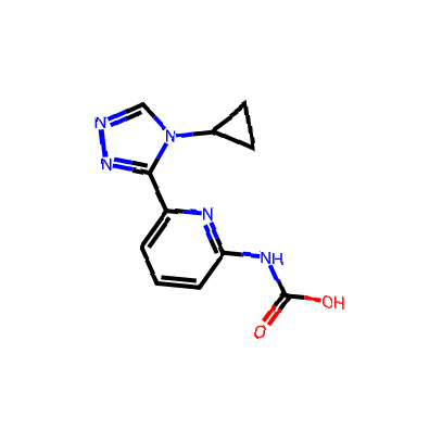 O=C(O)Nc1cccc(-c2nncn2C2CC2)n1